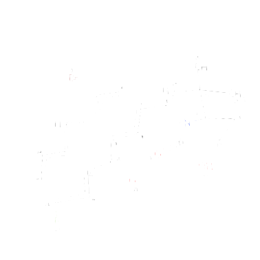 Cc1c(Br)cc(CN(C(=O)O)C2(C(C)(C)C)CC2)cc1C(=O)c1cccc(F)c1